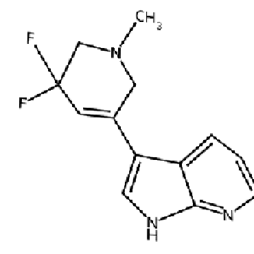 CN1CC(c2c[nH]c3ncccc23)=CC(F)(F)C1